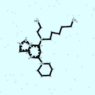 CCCCCCN(CCO)c1cc(N2CCCCC2)nc2cnnn12